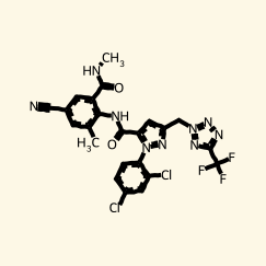 CNC(=O)c1cc(C#N)cc(C)c1NC(=O)c1cc(Cn2nnc(C(F)(F)F)n2)nn1-c1ccc(Cl)cc1Cl